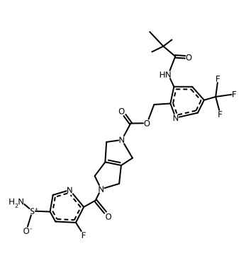 CC(C)(C)C(=O)Nc1cc(C(F)(F)F)cnc1COC(=O)N1CC2=C(C1)CN(C(=O)c1ncc([S+](N)[O-])cc1F)C2